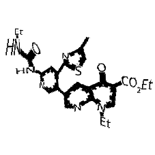 CCNC(=O)Nc1cc(-c2nc(C)cs2)c(-c2cnc3c(c2)c(=O)c(C(=O)OCC)cn3CC)cn1